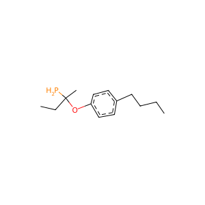 CCCCc1ccc(OC(C)(P)CC)cc1